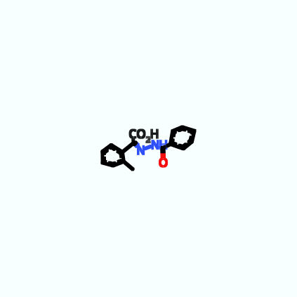 Cc1ccccc1C(=NNC(=O)c1ccccc1)C(=O)O